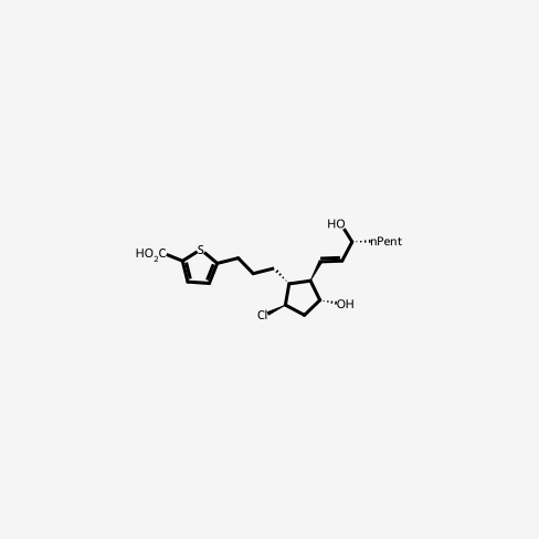 CCCCC[C@@H](O)/C=C/[C@@H]1[C@@H](CCCc2ccc(C(=O)O)s2)[C@H](Cl)C[C@H]1O